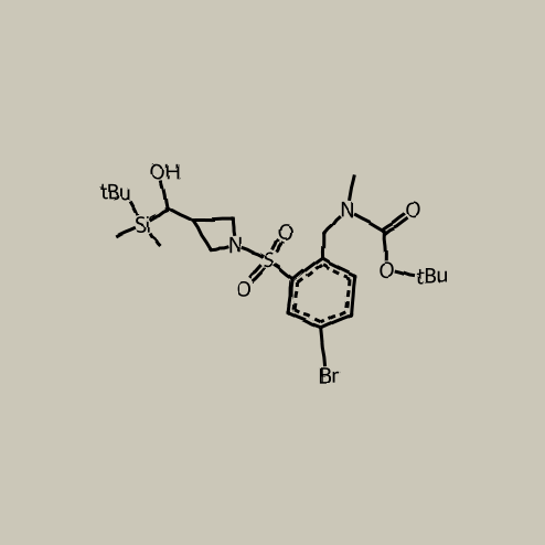 CN(Cc1ccc(Br)cc1S(=O)(=O)N1CC(C(O)[Si](C)(C)C(C)(C)C)C1)C(=O)OC(C)(C)C